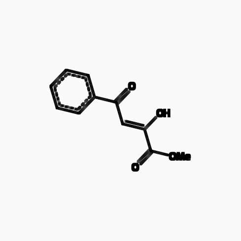 COC(=O)/C(O)=C/C(=O)c1ccccc1